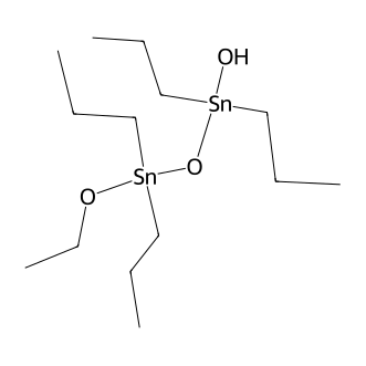 CC[CH2][Sn]([OH])([CH2]CC)[O][Sn]([CH2]CC)([CH2]CC)[O]CC